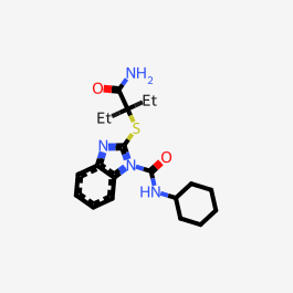 CCC(CC)(Sc1nc2ccccc2n1C(=O)NC1CCCCC1)C(N)=O